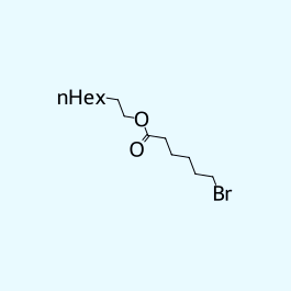 CCCCCCCCOC(=O)CCCCCBr